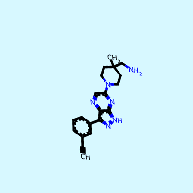 C#Cc1cccc(-c2n[nH]c3nc(N4CCC(C)(CN)CC4)cnc23)c1